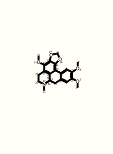 COc1cc2c(cc1OC)-c1c3c(c(OC)c4c1[C@H](C2)N(C)CC4)OCO3